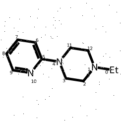 [CH2]CN1CCN(c2ccccn2)CC1